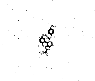 COc1ccc(NC(=O)N2CCc3nc(C(N)=O)sc3C2c2cc(OC)ccc2N)cc1